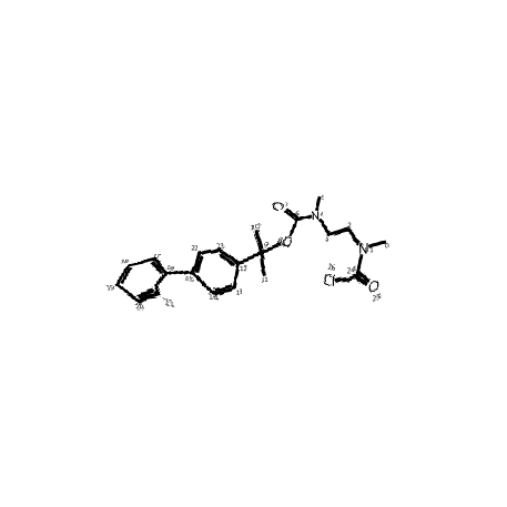 CN(CCN(C)C(=O)OC(C)(C)c1ccc(-c2ccccc2)cc1)C(=O)Cl